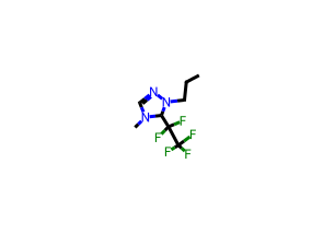 CCCN1N=CN(C)C1C(F)(F)C(F)(F)F